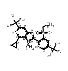 CCS(=O)(=O)c1cc(C(F)(F)F)cnc1-c1nc2cc(C(F)(F)F)nc(C3CC3)c2n1C